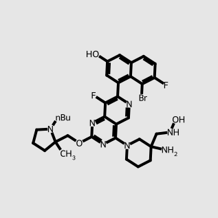 CCCCN1CCCC1(C)COc1nc(N2CCCC(N)(CNO)C2)c2cnc(-c3cc(O)cc4ccc(F)c(Br)c34)c(F)c2n1